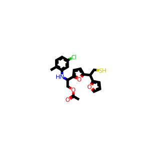 CC(=O)OCC(Nc1cc(Cl)ccc1C)c1ccc(C(CS)c2ccco2)o1